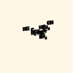 C.C.C.C.CCCN.Cl.Cl.Cl